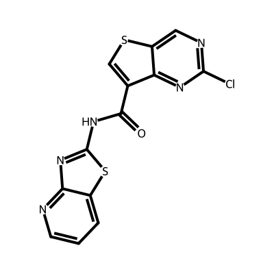 O=C(Nc1nc2ncccc2s1)c1csc2cnc(Cl)nc12